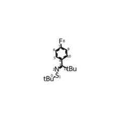 CC(C)(C)S/N=C(/c1ccc(F)cc1)C(C)(C)C